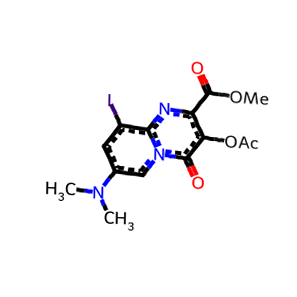 COC(=O)c1nc2c(I)cc(N(C)C)cn2c(=O)c1OC(C)=O